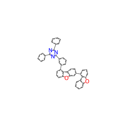 c1ccc(-c2nc(-c3ccccc3)nc(-c3cccc(-c4cccc5oc6cc(-c7cccc8oc9ccccc9c78)ccc6c45)c3)n2)cc1